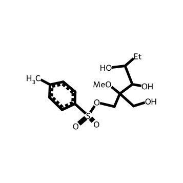 CCC(O)C(O)C(CO)(COS(=O)(=O)c1ccc(C)cc1)OC